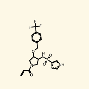 C=CC(=O)N1CC(NS(=O)(=O)c2c[nH]cn2)C(OCc2ccc(C(F)(F)F)cc2)C1